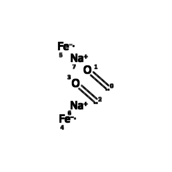 [C]=O.[C]=O.[Fe-].[Fe-].[Na+].[Na+]